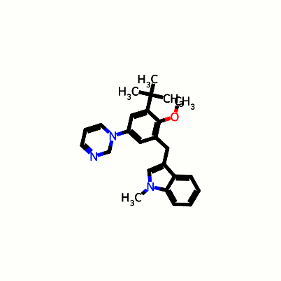 COc1c(Cc2cn(C)c3ccccc23)cc(N2C=CC=NC2)cc1C(C)(C)C